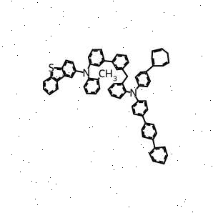 Cc1ccccc1N(c1cccc(-c2cccc(Cc3ccccc3N(c3ccc(C4=CC=CCC=C4)cc3)c3ccc(-c4ccc(-c5ccccc5)cc4)cc3)c2)c1)c1ccc2sc3ccccc3c2c1